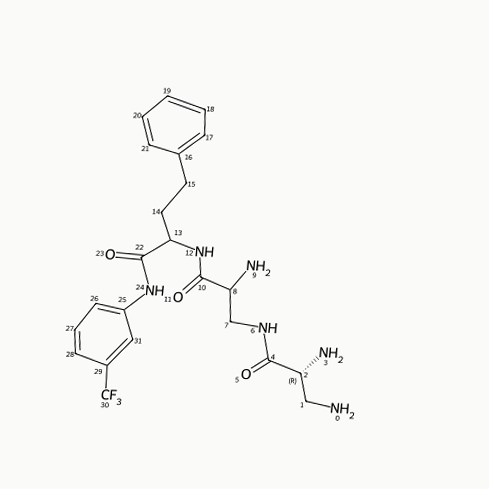 NC[C@@H](N)C(=O)NCC(N)C(=O)NC(CCc1ccccc1)C(=O)Nc1cccc(C(F)(F)F)c1